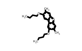 CCCCOc1cc2c(cc1C)sc1cc(C)c(OCCCC)cc12